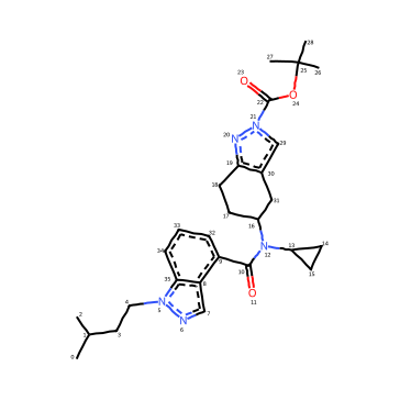 CC(C)CCn1ncc2c(C(=O)N(C3CC3)C3CCc4nn(C(=O)OC(C)(C)C)cc4C3)cccc21